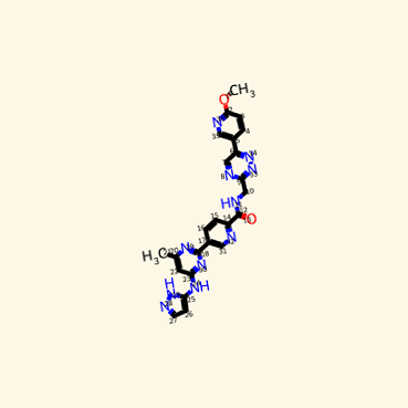 COc1ccc(-c2cnc(CNC(=O)c3ccc(-c4nc(C)cc(Nc5ccn[nH]5)n4)cn3)nn2)cn1